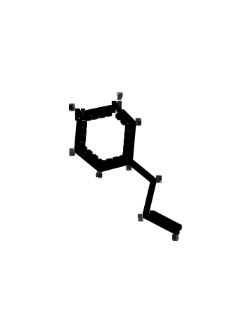 C=CCc1ccnnc1